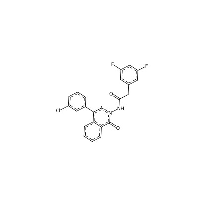 O=C(Cc1cc(F)cc(F)c1)Nn1nc(-c2cccc(Cl)c2)c2ccccc2c1=O